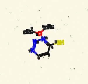 CCCCOCCCC.Sc1ccnnn1